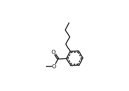 CCCCc1ccccc1C(=O)OC